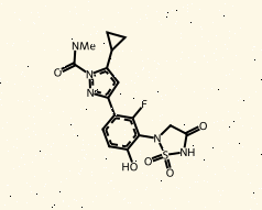 CNC(=O)n1nc(-c2ccc(O)c(N3CC(=O)NS3(=O)=O)c2F)cc1C1CC1